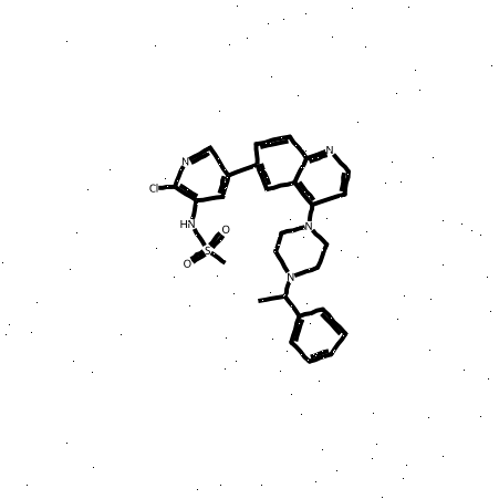 CC(c1ccccc1)N1CCN(c2ccnc3ccc(-c4cnc(Cl)c(NS(C)(=O)=O)c4)cc23)CC1